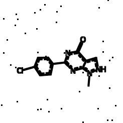 Cn1[nH]cc2c(=O)nc(-c3ccc(Cl)cc3)nc1-2